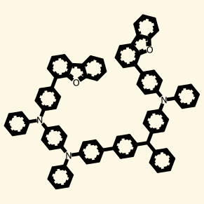 c1ccc(C(c2ccc(-c3ccc(N(c4ccccc4)c4ccc(N(c5ccccc5)c5ccc(-c6cccc7c6oc6ccccc67)cc5)cc4)cc3)cc2)c2ccc(N(c3ccccc3)c3ccc(-c4cccc5c4oc4ccccc45)cc3)cc2)cc1